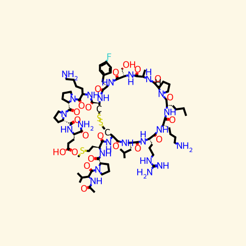 CCCC[C@@H]1NC(=O)[C@H](CCCCN)NC(=O)[C@H](CCCNC(=N)N)NC(=O)[C@H](CC(C)C)NC(=O)C(NC(=O)[C@H](CCSC)NC(=O)[C@@H]2CCCN2C(=O)[C@@H](NC(C)=O)C(C)C)CCSSC[C@@H](C(=O)NC(CCCCN)C(=O)N2CCC[C@H]2C(=O)N2CCC[C@H]2C(=O)N[C@@H](CCC(=O)O)C(N)=O)NC(=O)[C@H](Cc2ccc(F)cc2)NC(=O)[C@H](CO)NC(=O)C(C)NC(=O)[C@@H]2CCCN2C1=O